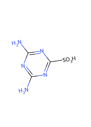 Nc1nc(N)nc(S(=O)(=O)O)n1